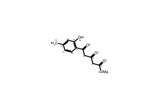 COC(=O)CC(=O)CC(=O)c1ccc(C)cc1O